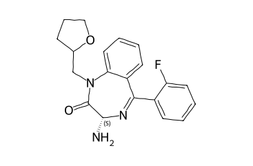 N[C@H]1N=C(c2ccccc2F)c2ccccc2N(CC2CCCO2)C1=O